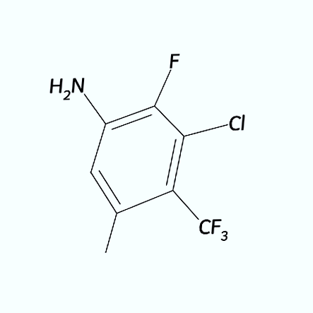 Cc1cc(N)c(F)c(Cl)c1C(F)(F)F